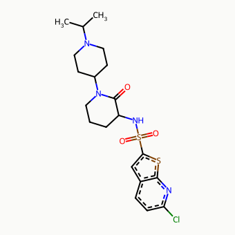 CC(C)N1CCC(N2CCCC(NS(=O)(=O)c3cc4ccc(Cl)nc4s3)C2=O)CC1